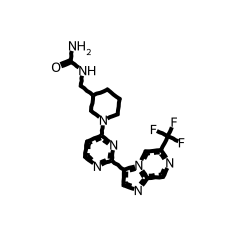 NC(=O)NCC1CCCN(c2ccnc(-c3cnc4cnc(C(F)(F)F)cn34)n2)C1